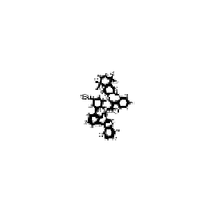 Cc1cc2c(cc1N1c3cc(C(C)(C)C)cc4c3B(c3oc5ccccc5c31)n1c3sc5ccccc5c3c3cccc-4c31)C(C)(C)CCC2(C)C